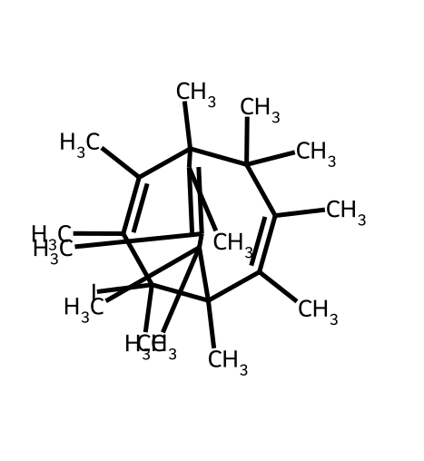 C/C1=C(\C)C2(C)C(C)(I)/C(C)=C(/C)C(C)(/C(C)=C(\C)C2(C)C)C1(C)C